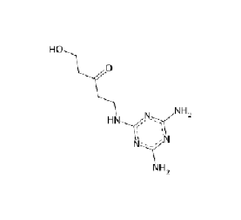 Nc1nc(N)nc(NCCC(=O)CCO)n1